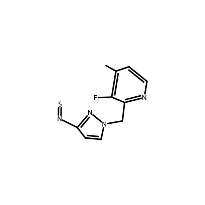 Cc1ccnc(Cn2ccc(N=S)n2)c1F